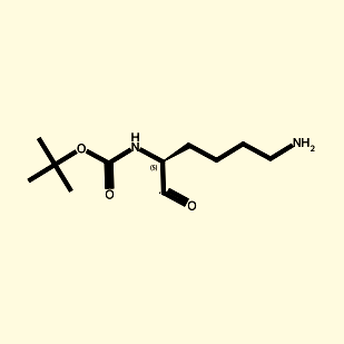 CC(C)(C)OC(=O)N[C@H]([C]=O)CCCCN